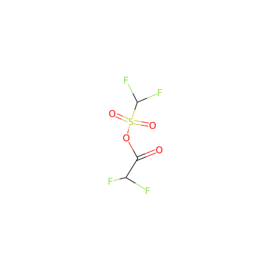 O=C(OS(=O)(=O)C(F)F)C(F)F